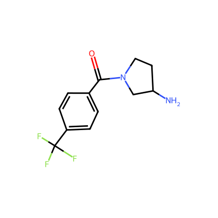 NC1CCN(C(=O)c2ccc(C(F)(F)F)cc2)C1